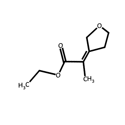 CCOC(=O)/C(C)=C1/CCOC1